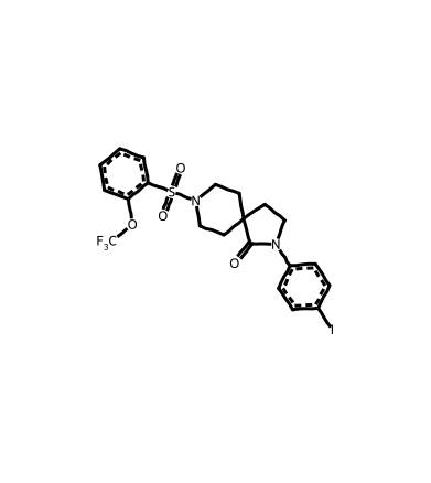 O=C1N(c2ccc(I)cc2)CCC12CCN(S(=O)(=O)c1ccccc1OC(F)(F)F)CC2